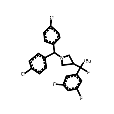 CC(C)(C)C(F)(c1cc(F)cc(F)c1)C1CN(C(c2ccc(Cl)cc2)c2ccc(Cl)cc2)C1